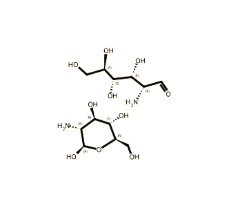 N[C@@H](C=O)[C@@H](O)[C@H](O)[C@H](O)CO.N[C@@H]1[C@@H](O)[C@H](O)[C@@H](CO)O[C@H]1O